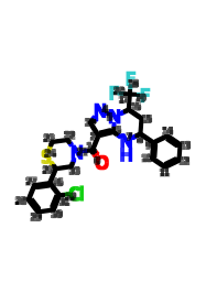 O=C(c1cnn2c1NC(c1ccccc1)CC2C(F)(F)F)N1CCSC(c2ccccc2Cl)C1